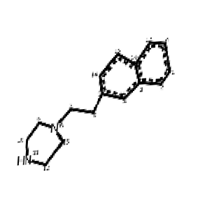 c1ccc2cc(CCN3CCNCC3)ccc2c1